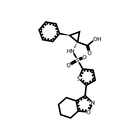 O=C(O)[C@]1(NS(=O)(=O)c2ccc(-c3noc4c3CCCC4)s2)C[C@@H]1c1ccccc1